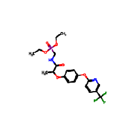 CCOP(=O)(CNC(=O)C(C)Oc1ccc(Oc2ccc(C(F)(F)F)cn2)cc1)OCC